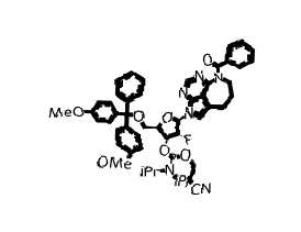 COc1ccc(C(OC[C@H]2O[C@@H](n3cc4c5c(ncnc53)N(C(=O)c3ccccc3)CCC4)[C@H](F)[C@@H]2OP(OCCC#N)N(C(C)C)C(C)C)(c2ccccc2)c2ccc(OC)cc2)cc1